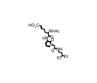 CCC(CC)CCNC(=O)Cn1cccc(NC(=O)C(CCC=CC(=O)O)NC(C)=O)c1=O